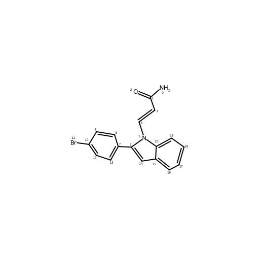 NC(=O)C=Cn1c(-c2ccc(Br)cc2)cc2ccccc21